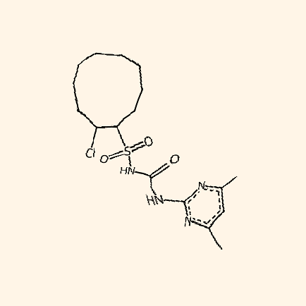 Cc1cc(C)nc(NC(=O)NS(=O)(=O)C2CCCCCCCCC2Cl)n1